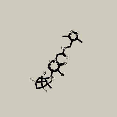 Cc1noc(C)c1CNC(=O)Cn1ncc(N[C@@H]2C[C@@H]3C[C@H]([C@H]2C)C3(C)C)c(Br)c1=O